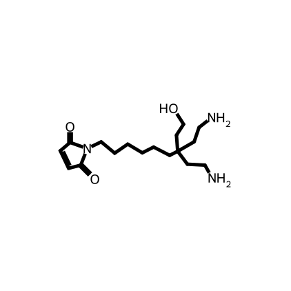 NCCC(CCN)(CCO)CCCCCCN1C(=O)C=CC1=O